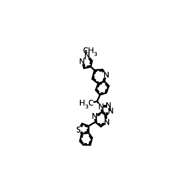 CC(c1ccc2ncc(-c3cnn(C)c3)cc2c1)n1nnc2ncc(-c3csc4ccccc34)nc21